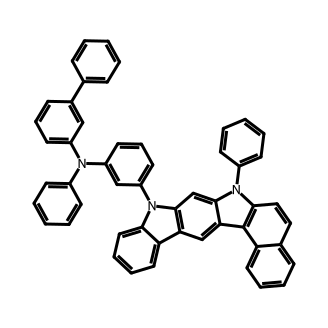 c1ccc(-c2cccc(N(c3ccccc3)c3cccc(-n4c5ccccc5c5cc6c7c8ccccc8ccc7n(-c7ccccc7)c6cc54)c3)c2)cc1